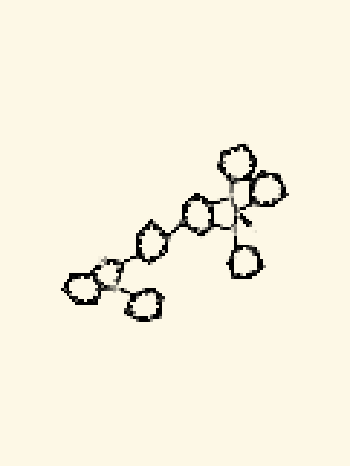 O=P1(c2ccccc2)N(c2ccccc2)c2ccc(-c3ccc(-c4nc5ccccc5n4-c4ccccc4)cc3)cc2N1c1ccccc1